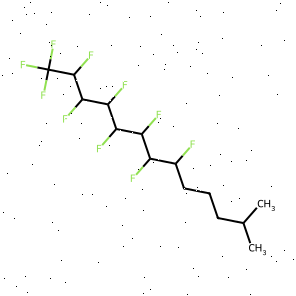 CC(C)CCCC(F)C(F)C(F)C(F)C(F)C(F)C(F)C(F)(F)F